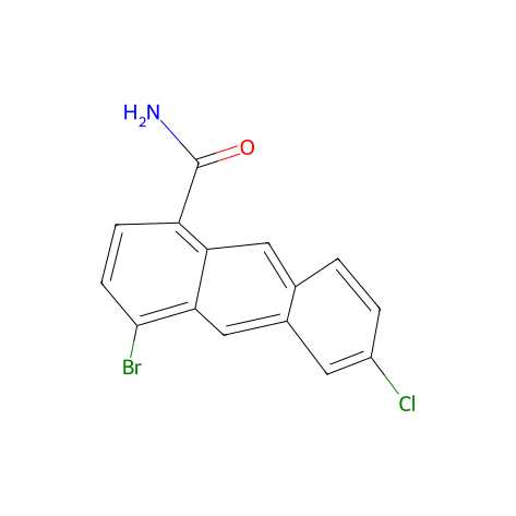 NC(=O)c1ccc(Br)c2cc3cc(Cl)ccc3cc12